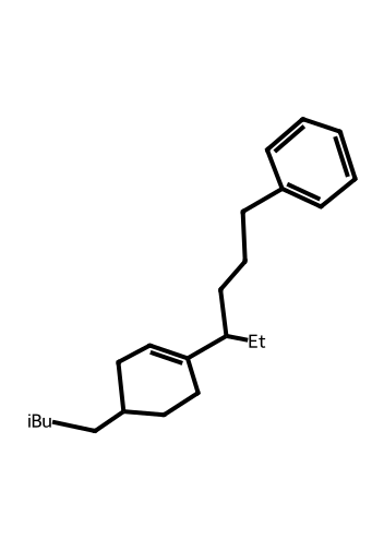 CCC(C)CC1CC=C(C(CC)CCCc2ccccc2)CC1